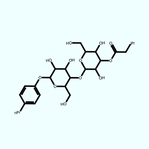 CCCc1ccc(OC2OC(CO)C(OC3OC(CO)C(O)C(OC(=O)CC(C)C)C3O)C(O)C2O)cc1